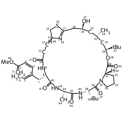 C=C(/C=C\C(=C/C)C[C@@H]1NC(=O)CC[C@@H]2CSC(=N2)C[C@@H](O)C[C@H](C)C[C@@H](C(C)(C)C)OC(=O)[C@@H]2CCCN2C(=O)[C@H]([C@@H](C)CC)NC(=O)[C@H](C)NC1=O)OC